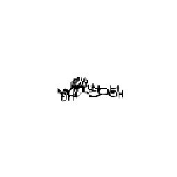 CCCC[C@H]1[C@H]([C@@H]2CC=C([C@H](C)CCC3(O)CC3)C2)CC=C2C[C@](O)(CC)CC[C@@H]21